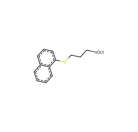 [CH2]CCCCCCCCCCSc1cccc2ccccc12